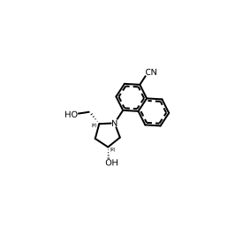 N#Cc1ccc(N2C[C@H](O)C[C@@H]2CO)c2ccccc12